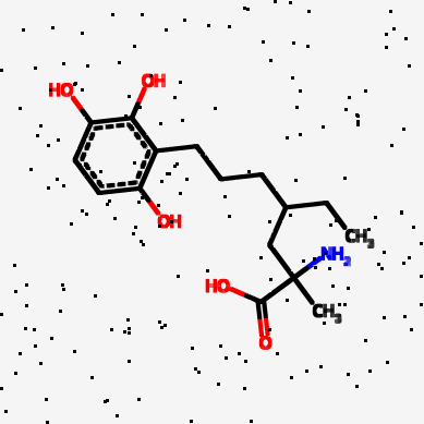 CCC(CCCc1c(O)ccc(O)c1O)CC(C)(N)C(=O)O